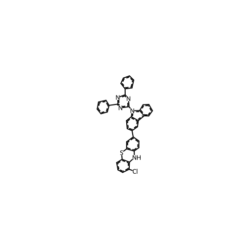 Clc1cccc2c1Nc1ccc(-c3ccc4c(c3)c3ccccc3n4-c3nc(-c4ccccc4)nc(-c4ccccc4)n3)cc1S2